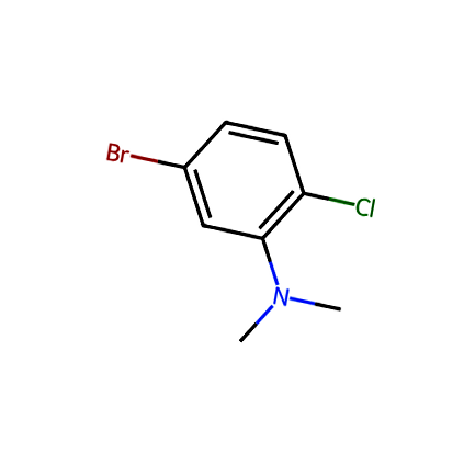 CN(C)c1cc(Br)ccc1Cl